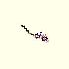 CCCCCCCCCCCON1C(C)(C)CC2(CC1(C)C)NC(=O)C1(CC(C)(C)N(OC)C(C)(C)C1)O2